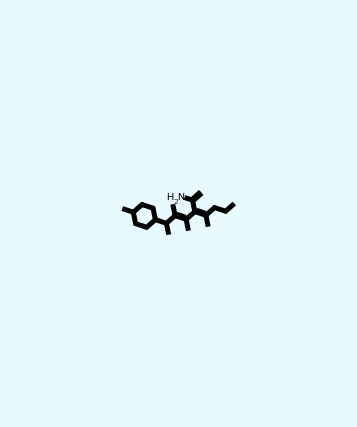 C=C(N)C(=C(/C)CCC)/C(C)=C(\C)C(C)C1CCC(C)CC1